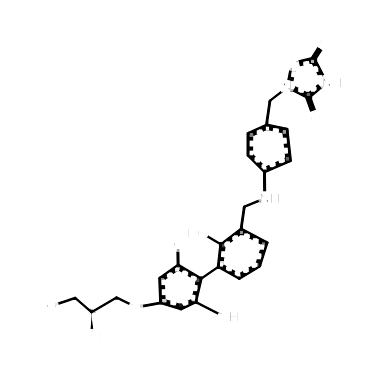 Cc1cc(OC[C@@H](O)CO)cc(C)c1-c1cccc(CNc2ccc(Cn3oc(=O)[nH]c3=O)cc2)c1C